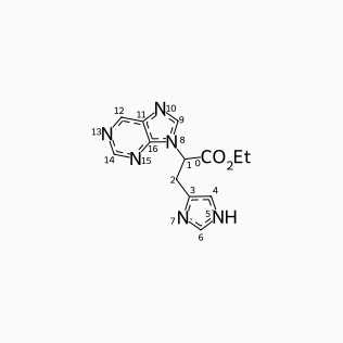 CCOC(=O)C(Cc1c[nH]cn1)n1cnc2cncnc21